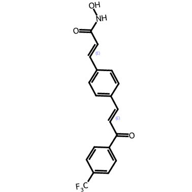 O=C(/C=C/c1ccc(/C=C/C(=O)c2ccc(C(F)(F)F)cc2)cc1)NO